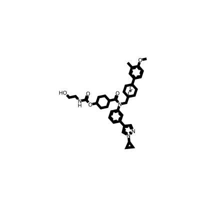 COc1ccc(C23CCC(CN(C(=O)C4CCC(OC(=O)NCCO)CC4)c4cccc(-c5cnn(C6CC6)c5)c4)(CC2)CC3)cc1C